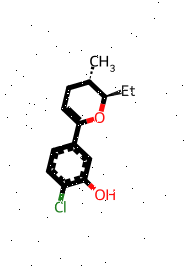 CC[C@H]1OC(c2ccc(Cl)c(O)c2)=CC[C@@H]1C